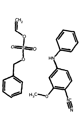 C=COS(=O)(=O)OCc1ccccc1.COc1cc(Nc2ccccc2)ccc1[N+]#N